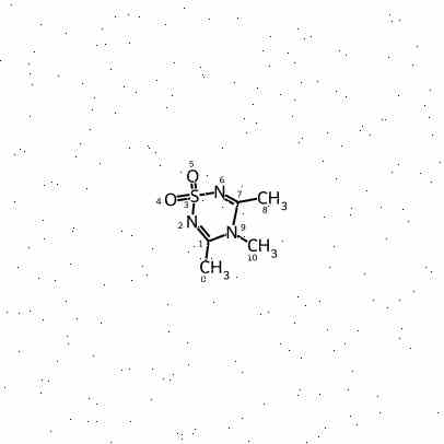 CC1=NS(=O)(=O)N=C(C)N1C